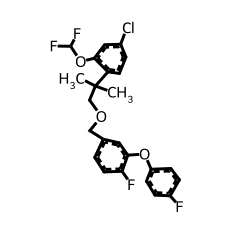 CC(C)(COCc1ccc(F)c(Oc2ccc(F)cc2)c1)c1ccc(Cl)cc1OC(F)F